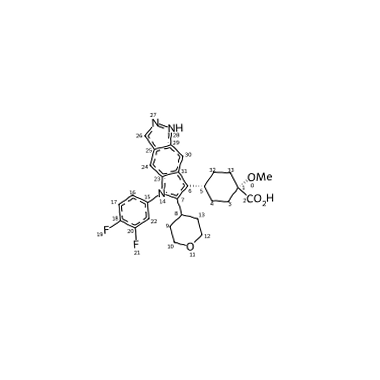 CO[C@]1(C(=O)O)CC[C@H](c2c(C3CCOCC3)n(-c3ccc(F)c(F)c3)c3cc4cn[nH]c4cc32)CC1